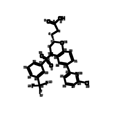 O=C(O)CC[C@H]1CN(S(=O)(=O)c2cccc(C(F)(F)F)c2)c2cc(-c3cccc(Cl)n3)ccc2O1